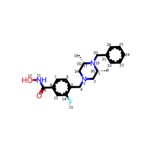 C[C@@H]1CN(Cc2ccc(C(=O)NO)cc2F)C[C@H](C)N1Cc1ccccc1